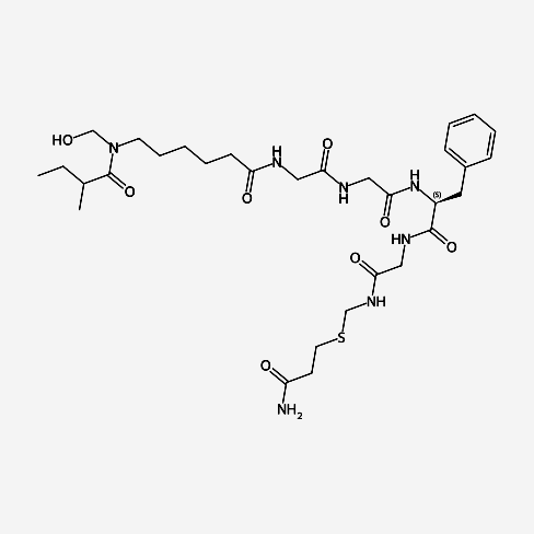 CCC(C)C(=O)N(CO)CCCCCC(=O)NCC(=O)NCC(=O)N[C@@H](Cc1ccccc1)C(=O)NCC(=O)NCSCCC(N)=O